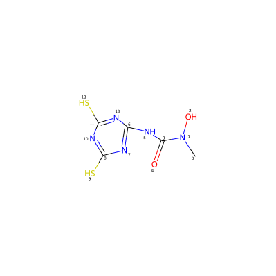 CN(O)C(=O)Nc1nc(S)nc(S)n1